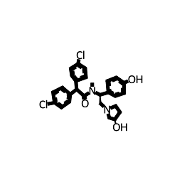 CN(C(=O)C(c1ccc(Cl)cc1)c1ccc(Cl)cc1)[C@H](CN1CC[C@H](O)C1)c1ccc(O)cc1